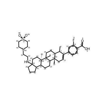 CC1C(c2ccc(C(=O)O)c(F)c2)=CC[C@@]2(C)C1CCC1(C)C2CCC2C3CCCC3(NCCN3CCS(=O)(=O)CC3)CC[C@]21C